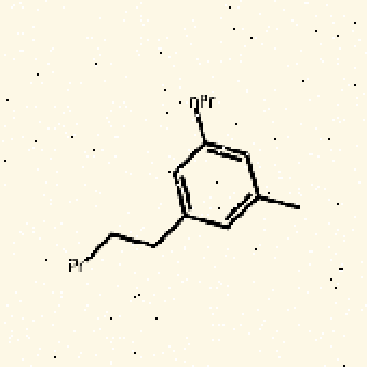 CCCc1cc(C)cc(CCC(C)C)c1